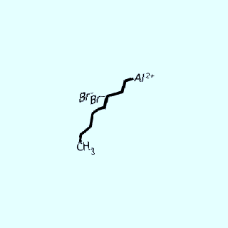 CCCCCCC[CH2][Al+2].[Br-].[Br-]